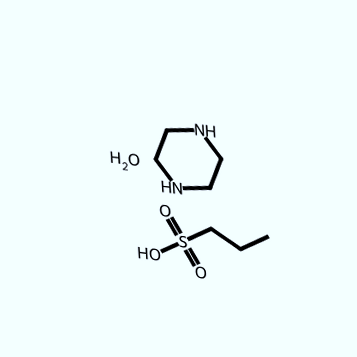 C1CNCCN1.CCCS(=O)(=O)O.O